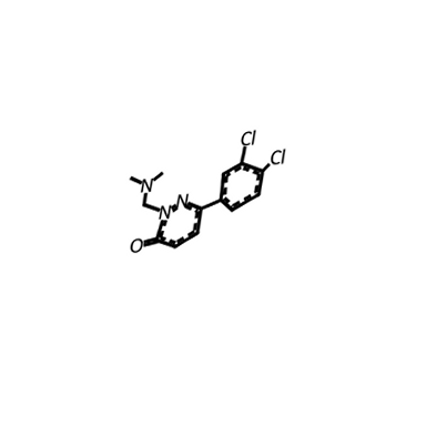 CN(C)Cn1nc(-c2ccc(Cl)c(Cl)c2)ccc1=O